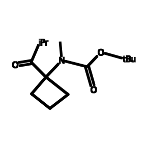 CC(C)C(=O)C1(N(C)C(=O)OC(C)(C)C)CCC1